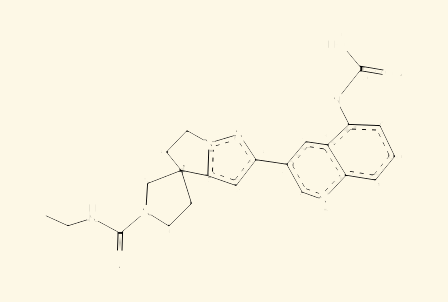 CCNC(=O)N1CCC2(CCn3nc(-c4cnc5cccc(NC(=O)O)c5c4)cc32)C1